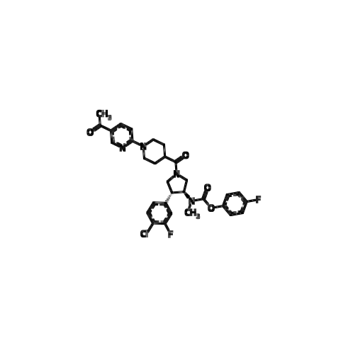 CC(=O)c1ccc(N2CCC(C(=O)N3C[C@@H](N(C)C(=O)Oc4ccc(F)cc4)[C@H](c4ccc(Cl)c(F)c4)C3)CC2)nc1